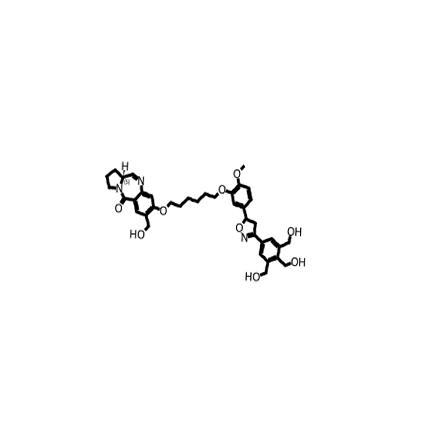 COc1ccc(C2CC(c3cc(CO)c(CO)c(CO)c3)=NO2)cc1OCCCCCCOc1cc2c(cc1CO)C(=O)N1CCC[C@H]1C=N2